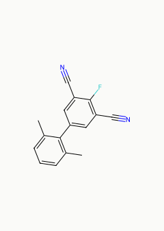 Cc1cccc(C)c1-c1cc(C#N)c(F)c(C#N)c1